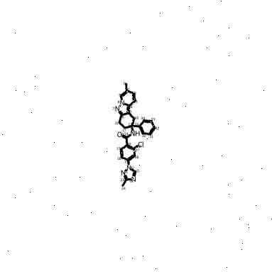 Cc1ccc2c3c(nn2c1)CCC(NC(=O)c1ccc(-n2cnc(C)n2)cc1Cl)(c1ccccc1)C3